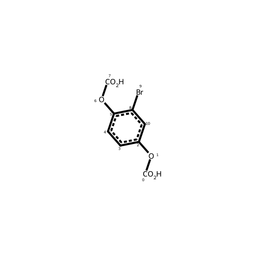 O=C(O)Oc1ccc(OC(=O)O)c(Br)c1